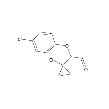 O=CC(Oc1ccc(Cl)cc1)C1(Cl)CC1